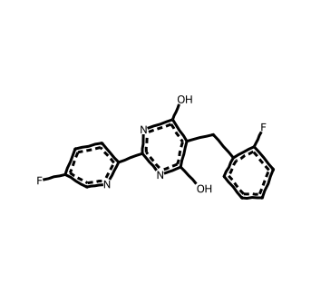 Oc1nc(-c2ccc(F)cn2)nc(O)c1Cc1ccccc1F